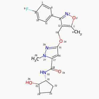 Cc1onc(-c2ccc(F)cc2)c1COc1cc(C(=O)N[C@@H]2CCCC2O)n(C)n1